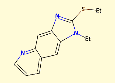 CCSc1nc2cc3ncccc3cc2n1CC